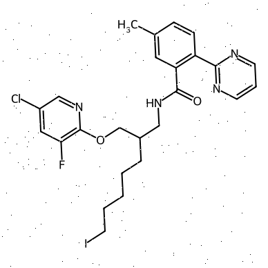 Cc1ccc(-c2ncccn2)c(C(=O)NCC(CCCCCI)COc2ncc(Cl)cc2F)c1